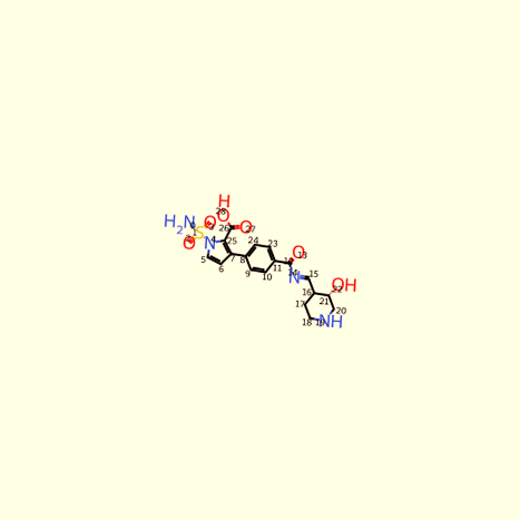 NS(=O)(=O)n1ccc(-c2ccc(C(=O)/N=C/C3CCNC[C@H]3O)cc2)c1C(=O)O